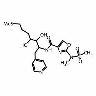 CSCCCC(O)C(O)C(Cc1ccncc1)NC(=O)c1coc(N(C)S(C)(=O)=O)n1